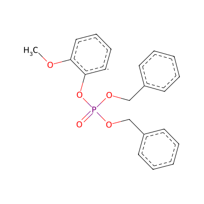 COc1ccc[c]c1OP(=O)(OCc1ccccc1)OCc1ccccc1